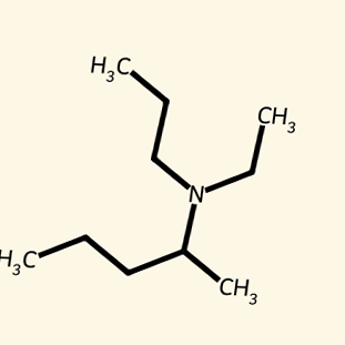 CCCC(C)N(CC)CCC